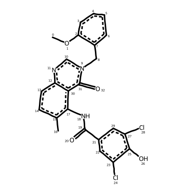 COc1ccccc1Cn1cnc2ccc(C)c(NC(=O)c3cc(Cl)c(O)c(Cl)c3)c2c1=O